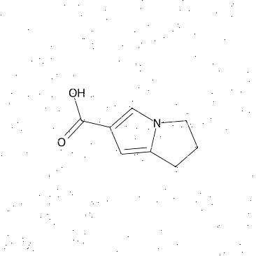 O=C(O)c1cc2n(c1)CCC2